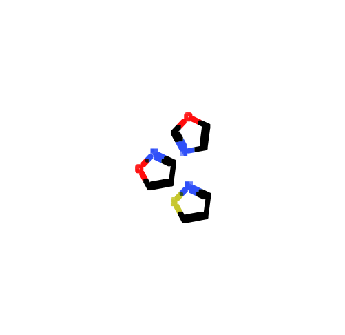 c1cnoc1.c1cnsc1.c1cocn1